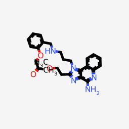 COCCc1nc2c(N)nc3ccccc3c2n1CCCNCc1ccccc1OCC(C)=O